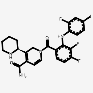 NC(=O)C1=C([C@@H]2CCCCN2)CN(C(=O)c2ccc(F)c(F)c2Nc2ccc(I)cc2F)C=C1